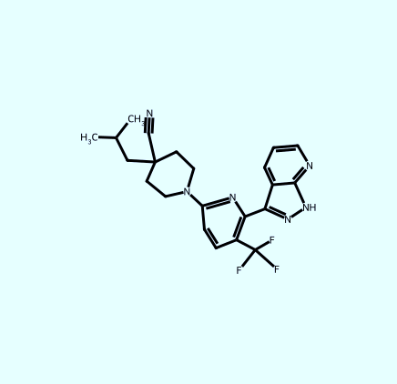 CC(C)CC1(C#N)CCN(c2ccc(C(F)(F)F)c(-c3n[nH]c4ncccc34)n2)CC1